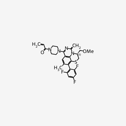 C=CC(=O)N1CCN(C2=NC(=C)N3c4c2cc(C)c(-c2c(F)cc(F)cc2F)c4SC[C@@H]3COC)CC1